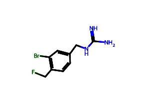 N=C(N)NCc1ccc(CF)c(Br)c1